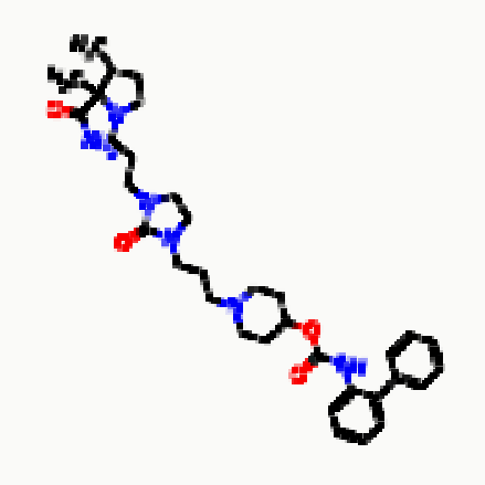 CC1CCN(CCCN2CCN(CCCN3CCC(OC(=O)Nc4ccccc4-c4ccccc4)CC3)C2=O)C1(C)C(N)=O